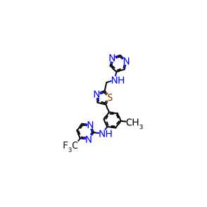 Cc1cc(Nc2nccc(C(F)(F)F)n2)cc(-c2cnc(CNc3cncnc3)s2)c1